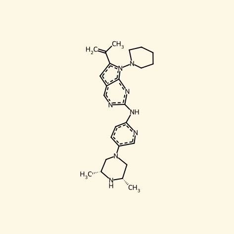 C=C(C)c1cc2cnc(Nc3ccc(N4C[C@@H](C)N[C@@H](C)C4)cn3)nc2n1N1CCCCC1